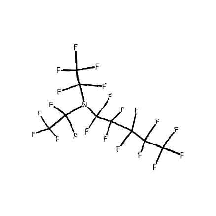 FC(F)(F)C(F)(F)N(C(F)(F)C(F)(F)F)C(F)(F)C(F)(F)C(F)(F)C(F)(F)C(F)(F)F